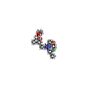 CC1(C)OB(c2ccc3c4ccccc4c4cc(-c5cccc(-c6nc(-c7ccc(-c8ccccc8)cc7)nc(-c7cccc8oc9ccc(Br)cc9c78)n6)c5)cc5oc2c3c54)OC1(C)C